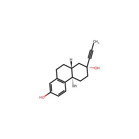 CC#C[C@@]1(O)CC[C@@]2(CCC)c3ccc(O)cc3CC[C@@H]2C1